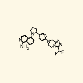 Nc1nccc2c(N3CCCC3c3ccc(N4CCn5c(nnc5C(F)F)C4)nc3)cccc12